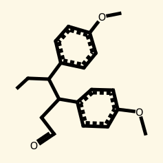 CCC(c1ccc(OC)cc1)C(CC=O)c1ccc(OC)cc1